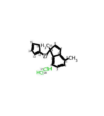 Cc1cccc2c1C=C[C]2(C)[Zr][C]1=CC=CC1.Cl.Cl